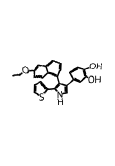 CCOc1ccc2c(-c3c(-c4ccc(O)c(O)c4)c[nH]c3-c3cccs3)cccc2c1